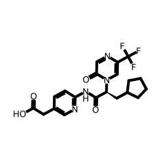 O=C(O)Cc1ccc(NC(=O)[C@H](CC2CCCC2)n2cc(C(F)(F)F)ncc2=O)nc1